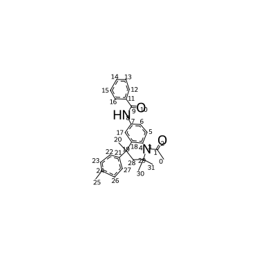 CC(=O)N1c2ccc(NC(=O)c3ccccc3)cc2C(C)(c2ccc(C)cc2)CC1(C)C